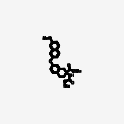 COC(=O)C1(NC(=O)OC(C)(C)C)CCc2ccc(Oc3ccc4ccc(OC)cc4c3)cc2C1